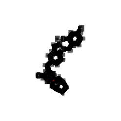 CN1CC2CCC(C1)N2C1=NC(=O)/C(=C/c2ccc3c(cnn3Cc3ccc(Cl)cc3C(F)(F)F)c2)S1